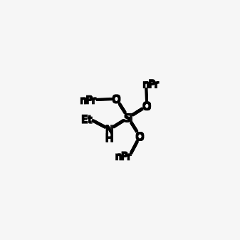 CCCO[Si](NCC)(OCCC)OCCC